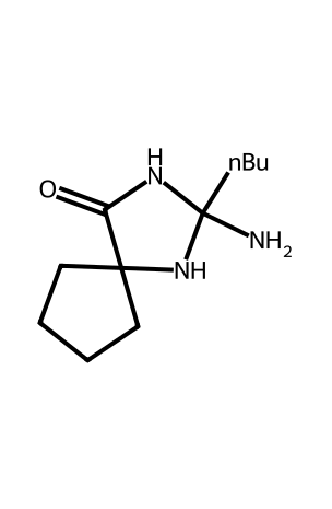 CCCCC1(N)NC(=O)C2(CCCC2)N1